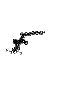 C#CCOCCOCCOCCOCCS(=O)(=O)CCCn1c(CN2C(=O)C3(CCN(C(=O)OCC(C)C)CC3)c3ccncc32)nc2cc(Cl)ccc21